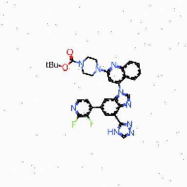 CC(C)(C)OC(=O)N1CCN(c2cc(-n3cnc4c(-c5nnc[nH]5)cc(-c5ccnc(F)c5F)cc43)c3ccccc3n2)CC1